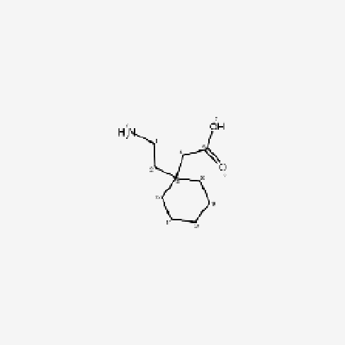 NCCC1(CC(=O)O)CCCCC1